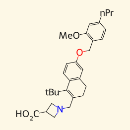 CCCc1ccc(COc2ccc3c(c2)CCC(CN2CC(C(=O)O)C2)=C3C(C)(C)C)c(OC)c1